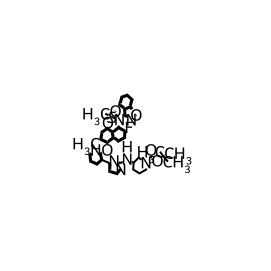 Cc1ccc2c(N(c3noc4ccccc34)S(C)(=O)=O)c(F)ccc2c1Oc1ncccc1-c1ccnc(NC2CCCN(C(=O)OC(C)(C)C)C2)n1